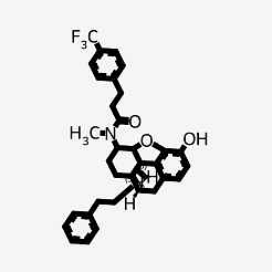 CN(C(=O)CCc1ccc(C(F)(F)F)cc1)C1CC[C@@]2(O)[C@H]3Cc4ccc(O)c5c4[C@@]2(CCN3CCc2ccccc2)C1O5